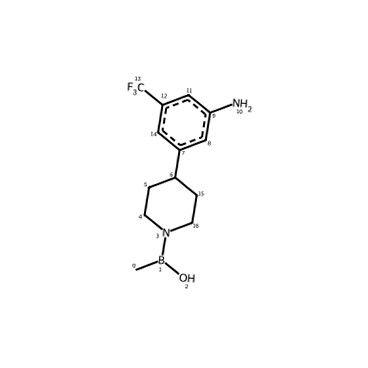 CB(O)N1CCC(c2cc(N)cc(C(F)(F)F)c2)CC1